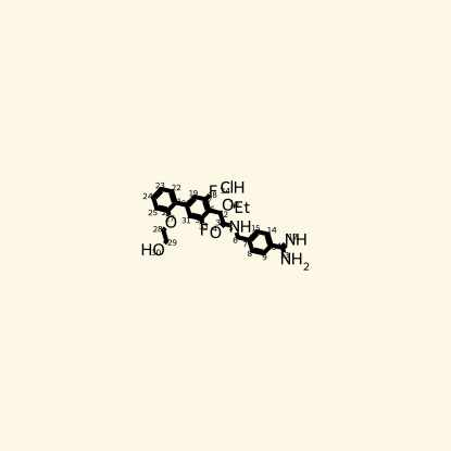 CCO[C@H](C(=O)NCc1ccc(C(=N)N)cc1)c1c(F)cc(-c2ccccc2OCCO)cc1F.Cl